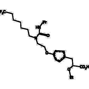 CCOC(Cc1ccc(OCCN(CCCCCCC(F)(F)F)C(=O)NC(C)C)cc1)C(=O)O